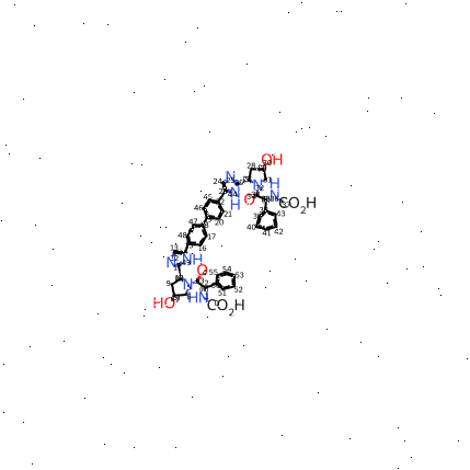 O=C(O)N[C@@H](C(=O)N1C[C@@H](O)C[C@H]1c1ncc(-c2ccc(-c3ccc(-c4cnc([C@@H]5C[C@H](O)CN5C(=O)[C@H](NC(=O)O)c5ccccc5)[nH]4)cc3)cc2)[nH]1)c1ccccc1